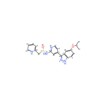 CC(C)Oc1ccc2[nH]nc(-c3ccnc(N[S+]([O-])Cc4ccccn4)c3)c2c1